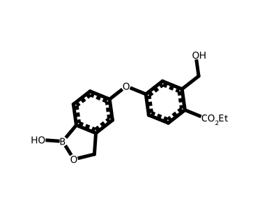 CCOC(=O)c1ccc(Oc2ccc3c(c2)COB3O)cc1CO